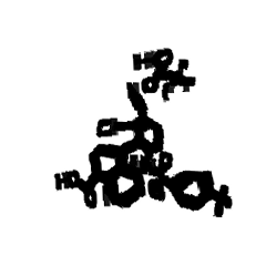 CC(C)(C)c1ccc(S(=O)(=O)Nc2ccc(C#N)c(Cl)c2-c2ccc(C(=O)O)c3ncccc23)cc1.O=C(O)C(F)(F)F